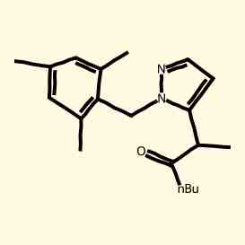 CCCCC(=O)C(C)c1ccnn1Cc1c(C)cc(C)cc1C